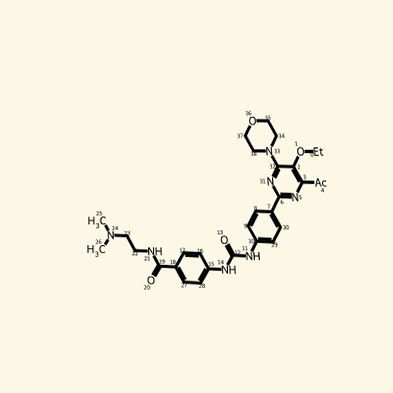 CCOc1c(C(C)=O)nc(-c2ccc(NC(=O)Nc3ccc(C(=O)NCCN(C)C)cc3)cc2)nc1N1CCOCC1